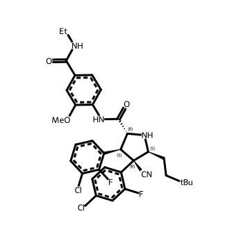 CCNC(=O)c1ccc(NC(=O)[C@@H]2N[C@@H](CCC(C)(C)C)[C@](C#N)(c3ccc(Cl)cc3F)[C@H]2c2cccc(Cl)c2F)c(OC)c1